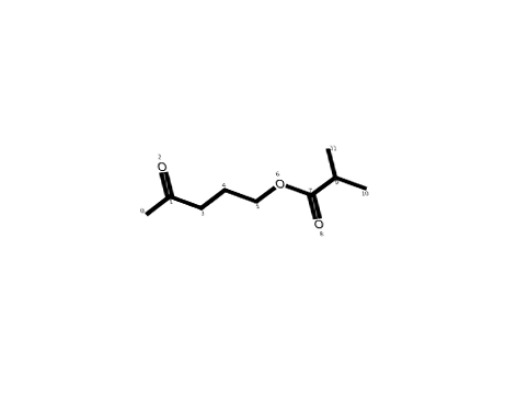 CC(=O)CCCOC(=O)C(C)C